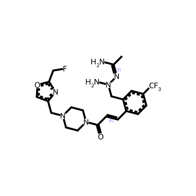 C/C(N)=N/N(N)Cc1cc(C(F)(F)F)ccc1/C=C/C(=O)N1CCN(Cc2coc(CF)n2)CC1